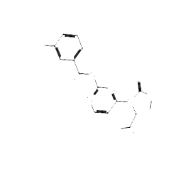 CC(C)COc1cccc([C@H](C)Nc2nccc(N3C(=O)OC[C@@H]3[C@@H](C)O)n2)c1